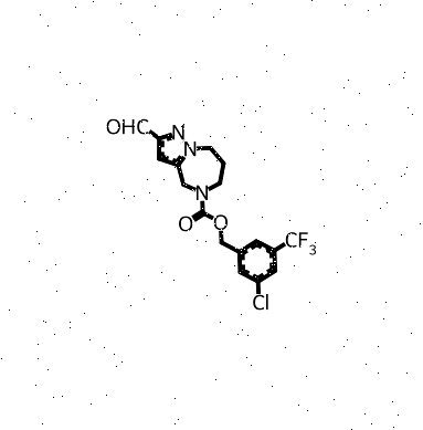 O=Cc1cc2n(n1)CCCN(C(=O)OCc1cc(Cl)cc(C(F)(F)F)c1)C2